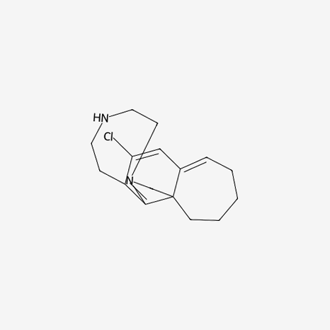 ClC1=CC2=CCCCCC23CCN2CCNCCC1=C23